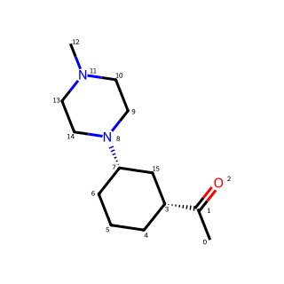 CC(=O)[C@@H]1CCC[C@H](N2CCN(C)CC2)C1